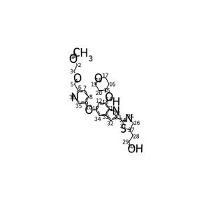 COCCOCc1ccc(Oc2cc(OC3CCOCC3)c3[nH]c(C4=NCC(CCO)S4)cc3c2)cn1